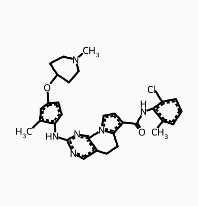 Cc1cc(OC2CCN(C)CC2)ccc1Nc1ncc2c(n1)-n1ccc(C(=O)Nc3c(C)cccc3Cl)c1CC2